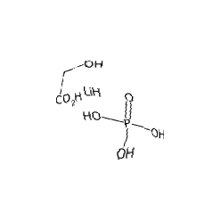 O=C(O)CO.O=P(O)(O)O.[LiH]